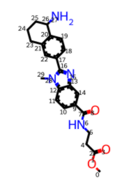 COC(=O)CCNC(=O)c1ccc2c(c1)nc(-c1ccc3c(c1)CCCC3N)n2C